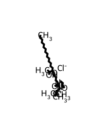 CCCCCCCCCCCCCCCC(OCCCn1ccc(=O)n(CC[N+](C)(C)C)c1=O)C(C)O.[Cl-]